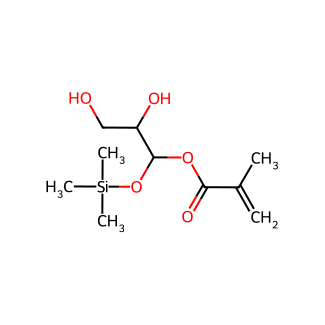 C=C(C)C(=O)OC(O[Si](C)(C)C)C(O)CO